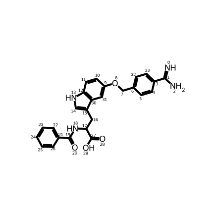 N=C(N)c1ccc(COc2ccc3[nH]cc(CC(NC(=O)c4ccccc4)C(=O)O)c3c2)cc1